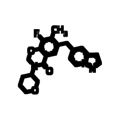 Cc1c(Cc2ccn3nccc3c2)cc2c(c1F)OCN(C1CCCOC1)C2=O